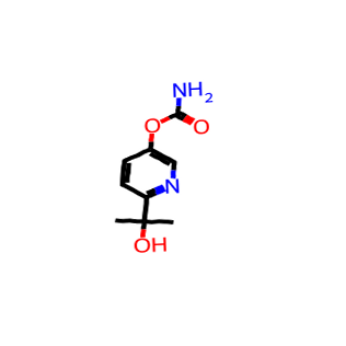 CC(C)(O)c1ccc(OC(N)=O)cn1